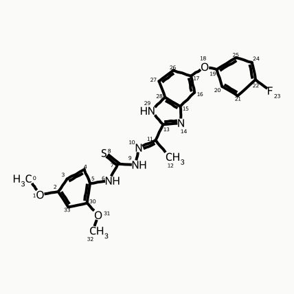 COc1ccc(NC(=S)N/N=C(\C)c2nc3cc(Oc4ccc(F)cc4)ccc3[nH]2)c(OC)c1